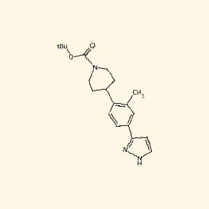 Cc1cc(-c2cc[nH]n2)ccc1C1CCN(C(=O)OC(C)(C)C)CC1